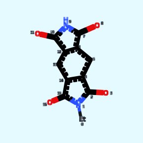 CCn1c(=O)c2cc3c(=O)[nH]c(=O)c3cc2c1=O